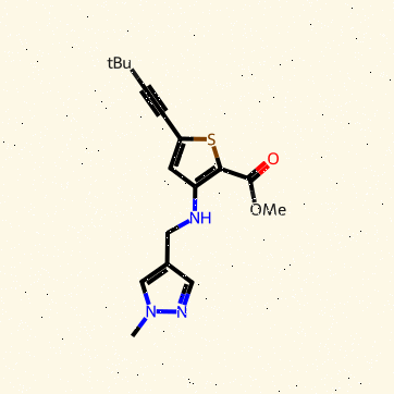 COC(=O)c1sc(C#CC(C)(C)C)cc1NCc1cnn(C)c1